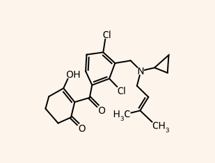 CC(C)=CCN(Cc1c(Cl)ccc(C(=O)C2=C(O)CCCC2=O)c1Cl)C1CC1